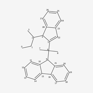 CCC(C)C1C(C(C)(C)C2c3ccccc3-c3ccccc32)=Cc2ccccc21